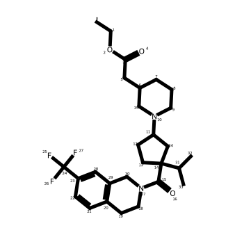 CCOC(=O)CC1CCCN(C2CCC(C(=O)N3CCc4ccc(C(F)(F)F)cc4C3)(C(C)C)C2)C1